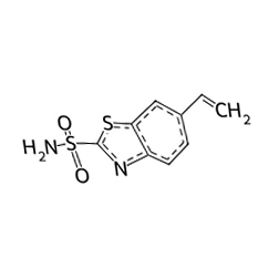 C=Cc1ccc2nc(S(N)(=O)=O)sc2c1